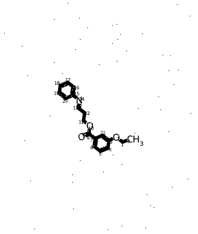 CCOc1cccc(C(=O)OCCC=Nc2ccccc2)c1